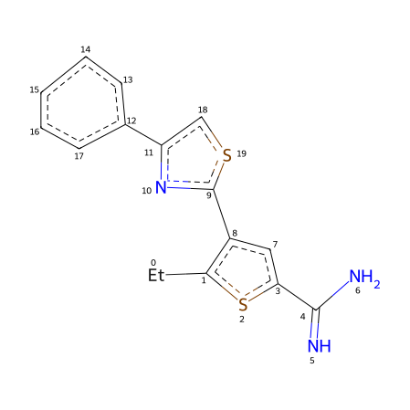 CCc1sc(C(=N)N)cc1-c1nc(-c2ccccc2)cs1